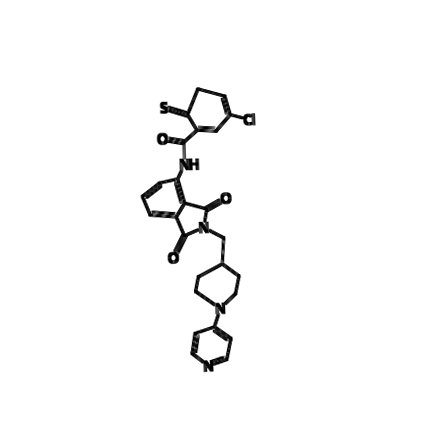 O=C(Nc1cccc2c1C(=O)N(CC1CCN(c3ccncc3)CC1)C2=O)C1=CC(Cl)=CCC1=S